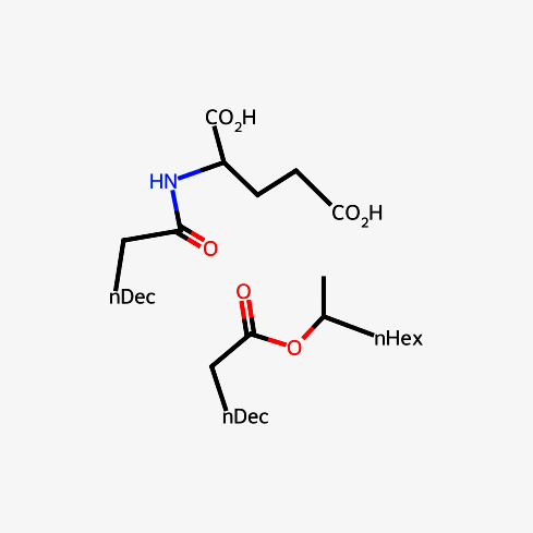 CCCCCCCCCCCC(=O)NC(CCC(=O)O)C(=O)O.CCCCCCCCCCCC(=O)OC(C)CCCCCC